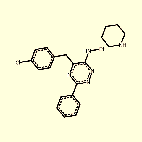 C1CCNCC1.CCNc1nnc(-c2ccccc2)nc1Cc1ccc(Cl)cc1